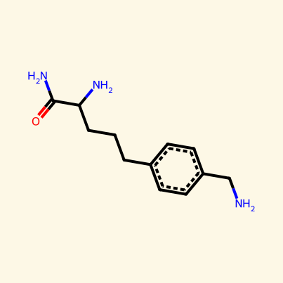 NCc1ccc(CCCC(N)C(N)=O)cc1